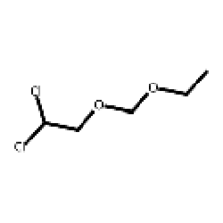 CCOCOCC(Cl)Cl